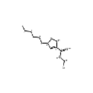 CCCCCCC1C=C(C(=O)OCC)CC1